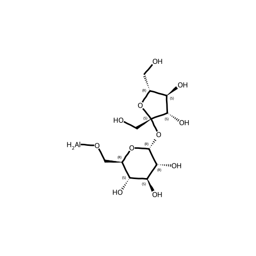 OC[C@H]1O[C@@](CO)(O[C@H]2O[C@H](C[O][AlH2])[C@@H](O)[C@H](O)[C@H]2O)[C@@H](O)[C@@H]1O